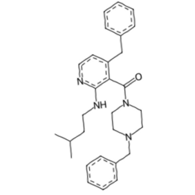 CC(C)CCNc1nccc(Cc2ccccc2)c1C(=O)N1CCN(Cc2ccccc2)CC1